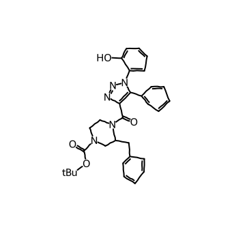 CC(C)(C)OC(=O)N1CCN(C(=O)c2nnn(-c3ccccc3O)c2-c2ccccc2)C(Cc2ccccc2)C1